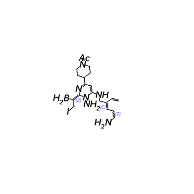 B/C(CI)=C1\N=C(C2CCN(C(C)=O)CC2)C=C(NC/C(C=C)=C/C=C\N)N1N